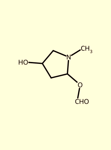 CN1CC(O)CC1OC=O